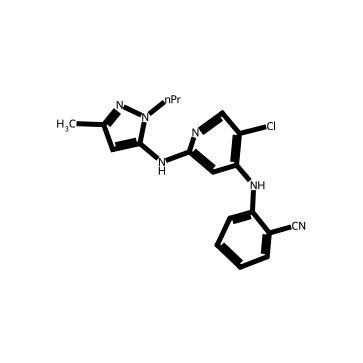 CCCn1nc(C)cc1Nc1cc(Nc2ccccc2C#N)c(Cl)cn1